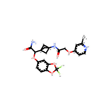 NC(=O)C(Oc1ccc2c(c1)OC(F)(F)O2)C12CC(NC(=O)COc3ccnc(C(F)(F)F)c3)(C1)C2